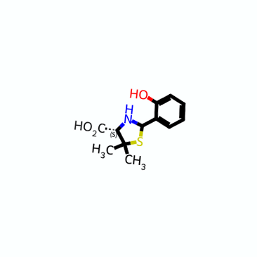 CC1(C)SC(c2ccccc2O)N[C@H]1C(=O)O